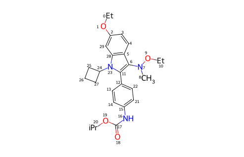 CCOc1ccc2c(N(C)OCC)c(-c3ccc(NC(=O)OC(C)C)cc3)n(C3CCC3)c2c1